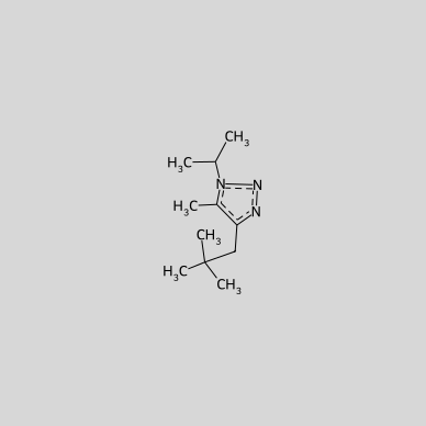 Cc1c(CC(C)(C)C)nnn1C(C)C